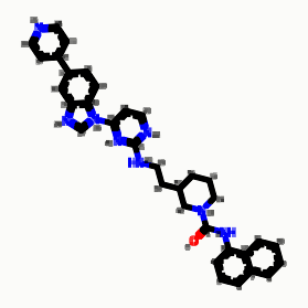 O=C(Nc1cccc2ccccc12)N1CCCC(CCNc2nccc(-n3cnc4cc(-c5ccncc5)ccc43)n2)C1